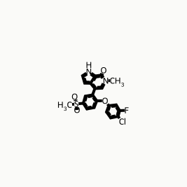 Cn1cc(-c2cc(S(C)(=O)=O)ccc2Oc2ccc(Cl)c(F)c2)c2cc[nH]c2c1=O